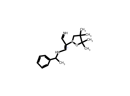 CC(N/C=C(\C=N)B1CC(C)(C)C(C)(C)O1)c1ccccc1